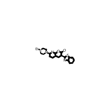 CCN1CCN(c2ccc3cc(-c4nc5ccccc5s4)c(=O)oc3n2)CC1